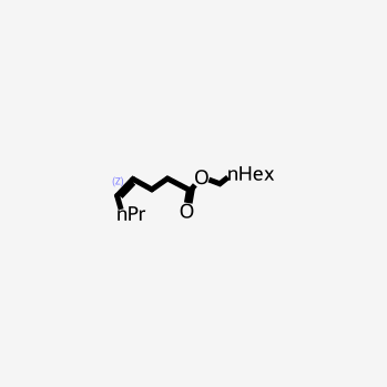 CCC/C=C\CCC(=O)OCCCCCCC